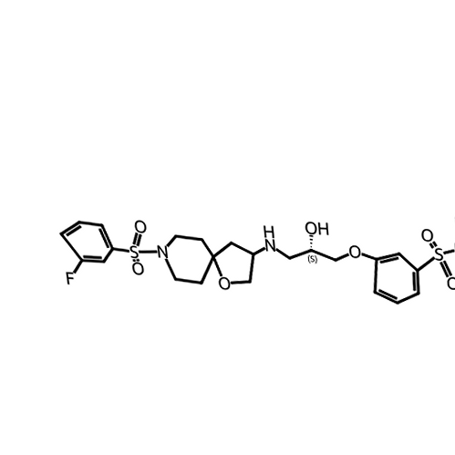 CNS(=O)(=O)c1cccc(OC[C@@H](O)CNC2COC3(CCN(S(=O)(=O)c4cccc(F)c4)CC3)C2)c1